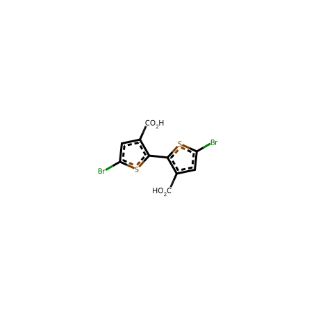 O=C(O)c1cc(Br)sc1-c1sc(Br)cc1C(=O)O